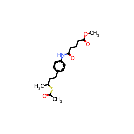 COC(=O)CCCC(=O)Nc1ccc(CCC(C)SC(C)=O)cc1